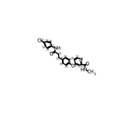 CNC(=O)c1cc(Oc2ccc(CCC(=O)Nc3ccc(Cl)cc3)cc2)ccn1